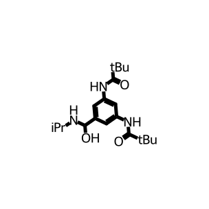 CC(C)NC(O)c1cc(NC(=O)C(C)(C)C)cc(NC(=O)C(C)(C)C)c1